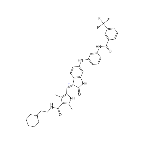 Cc1[nH]c(/C=C2\C(=O)Nc3cc(Nc4cccc(NC(=O)c5cccc(C(F)(F)F)c5)c4)ccc32)c(C)c1C(=O)NCCN1CCCCC1